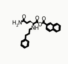 NC(=O)CC[C@H](NCCCc1ccccc1)C(=O)OC(=O)c1ccc2ccccc2c1